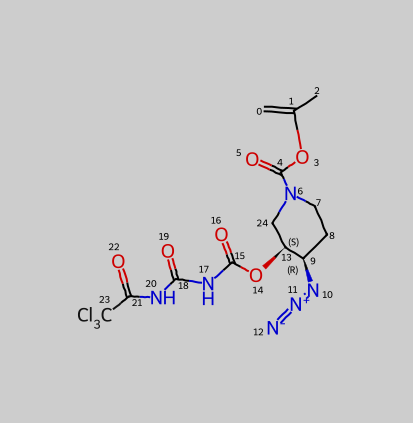 C=C(C)OC(=O)N1CC[C@@H](N=[N+]=[N-])[C@@H](OC(=O)NC(=O)NC(=O)C(Cl)(Cl)Cl)C1